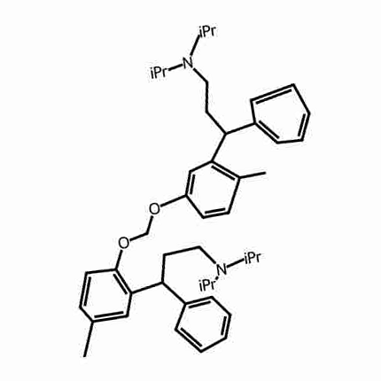 Cc1ccc(OCOc2ccc(C)c(C(CCN(C(C)C)C(C)C)c3ccccc3)c2)c(C(CCN(C(C)C)C(C)C)c2ccccc2)c1